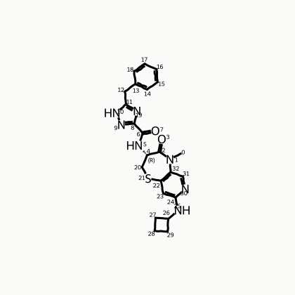 CN1C(=O)[C@@H](NC(=O)c2n[nH]c(Cc3ccccc3)n2)CSc2cc(NC3CCC3)ncc21